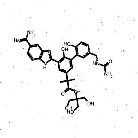 CC(C)(C(=O)NC(CO)(CO)CO)c1cc(-c2nc3cc(C(=N)N)ccc3[nH]2)c(O)c(-c2cc(CNC(N)=O)ccc2O)c1